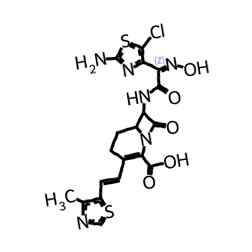 Cc1ncsc1C=CC1=C(C(=O)O)N2C(=O)C(NC(=O)/C(=N\O)c3nc(N)sc3Cl)C2CC1